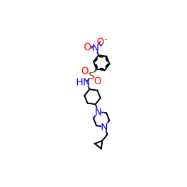 O=[N+]([O-])c1cccc(S(=O)(=O)NC2CCC(N3CCN(CC4CC4)CC3)CC2)c1